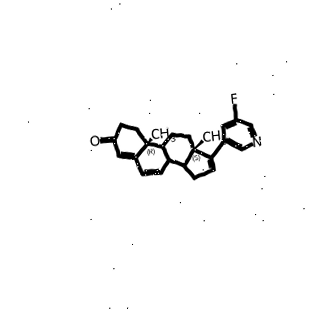 C[C@]12CCC(=O)C=C1C=CC1C2CC[C@]2(C)C(c3cncc(F)c3)=CCC12